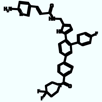 Nc1ccc(C=CC(=O)NCc2ccc(-c3ccc(-c4ccc(C(=O)N5CCC(F)(F)CC5)cc4)cc3-c3ccc(F)cc3)[nH]2)cn1